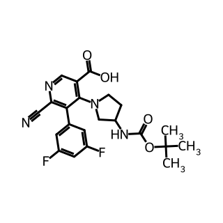 CC(C)(C)OC(=O)NC1CCN(c2c(C(=O)O)cnc(C#N)c2-c2cc(F)cc(F)c2)C1